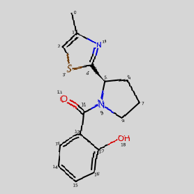 Cc1csc([C@H]2CCCN2C(=O)c2ccccc2O)n1